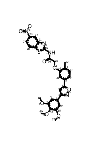 COc1cc(-c2cc(-c3ccc(C)c(OCC(=O)Nc4nc5cc([N+](=O)[O-])ccc5s4)c3)on2)cc(OC)c1OC